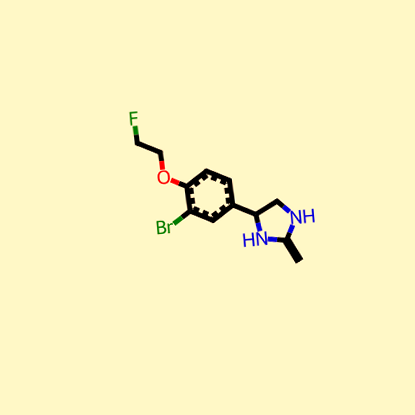 C=C1NCC(c2ccc(OCCF)c(Br)c2)N1